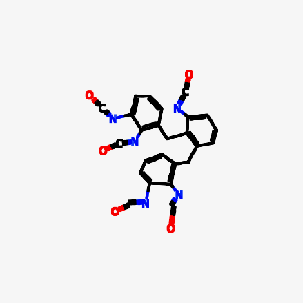 O=C=Nc1cccc(Cc2cccc(N=C=O)c2N=C=O)c1Cc1cccc(N=C=O)c1N=C=O